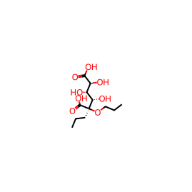 CCCO[C@@](CCC)(C(=O)O)[C@@H](O)[C@H](O)[C@H](O)C(=O)O